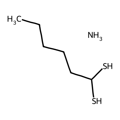 CCCCCC(S)S.N